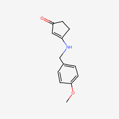 COc1ccc(CNC2=CC(=O)CC2)cc1